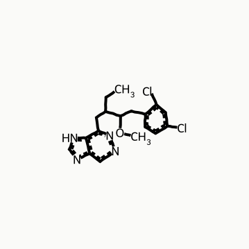 CCC(Cc1nncc2nc[nH]c12)C(Cc1ccc(Cl)cc1Cl)OC